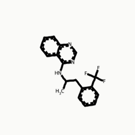 CC(Cc1ccccc1C(F)(F)F)Nc1ncnc2ccccc12